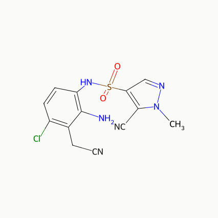 Cn1ncc(S(=O)(=O)Nc2ccc(Cl)c(CC#N)c2N)c1C#N